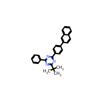 CC(C)(C)c1nc(-c2ccccc2)nc(-c2ccc(-c3ccc4ccccc4c3)cc2)n1